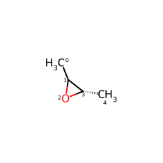 CC1O[C@H]1C